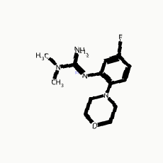 CN(C)/C(N)=N/c1cc(F)ccc1N1CCOCC1